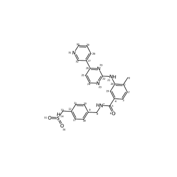 Cc1ccc(C(=O)NCc2ccc(C[SH](=O)=O)cc2)cc1Nc1nccc(-c2cccnc2)n1